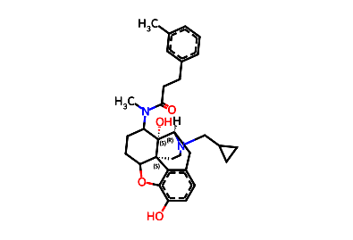 Cc1cccc(CCC(=O)N(C)C2CCC3Oc4c(O)ccc5c4[C@@]34CCN(CC3CC3)[C@H](C5)[C@]24O)c1